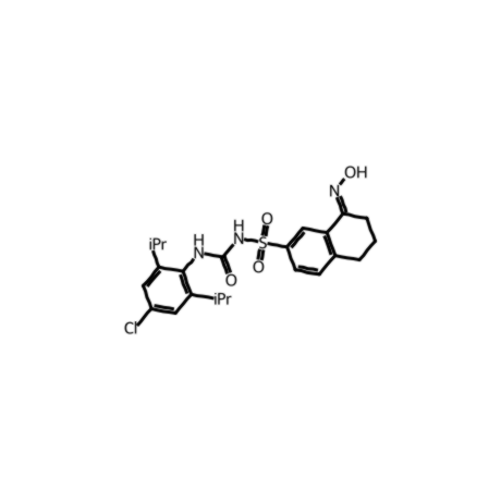 CC(C)c1cc(Cl)cc(C(C)C)c1NC(=O)NS(=O)(=O)c1ccc2c(c1)C(=NO)CCC2